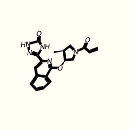 C=CC(=O)N1C[C@H](C)[C@H](Oc2nc(-c3n[nH]c(=O)[nH]3)cc3ccccc23)C1